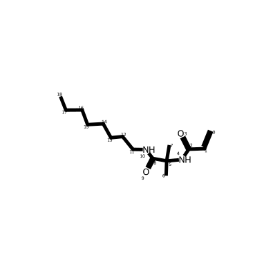 C=CC(=O)NC(C)(C)C(=O)NCCCCCCCC